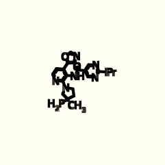 CC(C)c1ncc(C(=O)Nc2c(-c3cnco3)ccnc2N2CCC(C)(P)C2)cn1